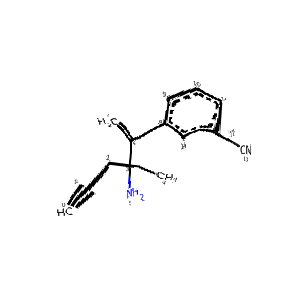 C#CCC(C)(N)C(=C)c1cccc(C#N)c1